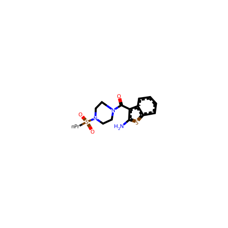 CCCS(=O)(=O)N1CCN(C(=O)c2c(N)sc3ccccc23)CC1